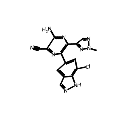 Cn1ncc(-c2nc(N)c(C#N)nc2-c2cc(Cl)c3[nH]ncc3c2)n1